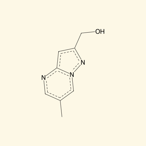 Cc1cnc2cc(CO)nn2c1